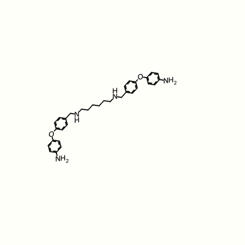 Nc1ccc(Oc2ccc(CNCCCCCCNCc3ccc(Oc4ccc(N)cc4)cc3)cc2)cc1